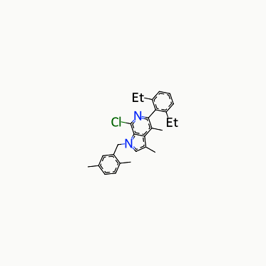 CCc1cccc(CC)c1-c1nc(Cl)c2c(c(C)cn2Cc2cc(C)ccc2C)c1C